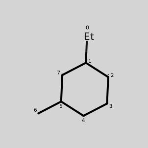 CCC1[CH]CCC(C)C1